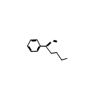 O=S=C(CCCBr)c1ccccc1